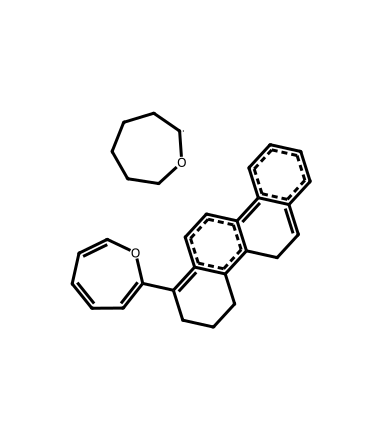 C1=CC=C(C2=c3ccc4c(c3CCC2)CC=c2ccccc2=4)OC=C1.[CH]1CCCCCO1